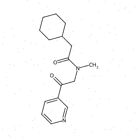 CN(CC(=O)c1cccnc1)C(=O)CC1CCCCC1